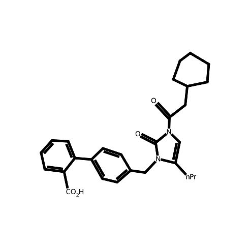 CCCc1cn(C(=O)CC2CCCCC2)c(=O)n1Cc1ccc(-c2ccccc2C(=O)O)cc1